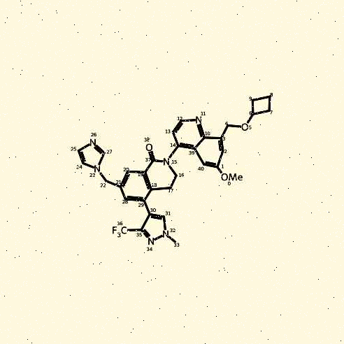 COc1cc(COC2CCC2)c2nccc(N3CCc4c(cc(Cn5ccnc5)cc4-c4cn(C)nc4C(F)(F)F)C3=O)c2c1